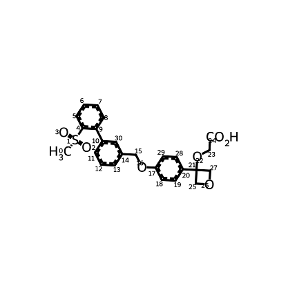 CS(=O)(=O)c1ccccc1-c1cccc(COc2ccc(C3(OCC(=O)O)COC3)cc2)c1